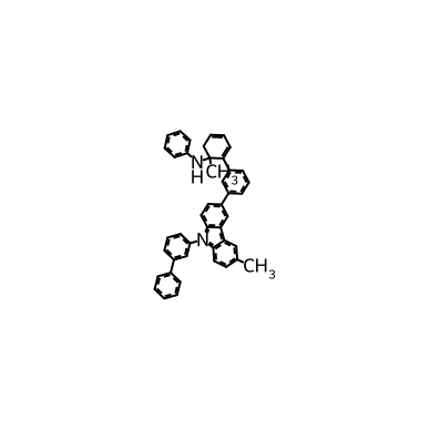 Cc1ccc2c(c1)c1cc(-c3cccc(C4=CC=CCC4(C)Nc4ccccc4)c3)ccc1n2-c1cccc(-c2ccccc2)c1